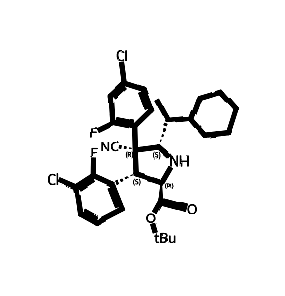 CC(C1CCCCC1)[C@@H]1N[C@@H](C(=O)OC(C)(C)C)[C@H](c2cccc(Cl)c2F)[C@@]1(C#N)c1ccc(Cl)cc1F